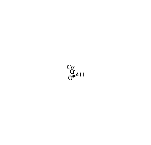 [Co].[Cr].[O]=[AlH]